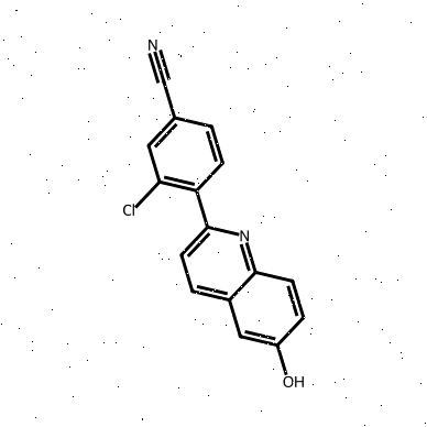 N#Cc1ccc(-c2ccc3cc(O)ccc3n2)c(Cl)c1